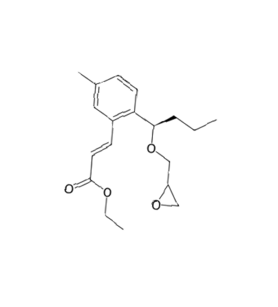 CCC[C@@H](OCC1CO1)c1ccc(C)cc1/C=C/C(=O)OCC